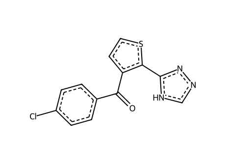 O=C(c1ccc(Cl)cc1)c1ccsc1-c1nnc[nH]1